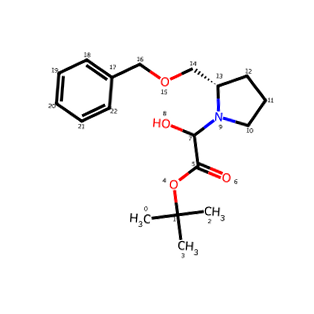 CC(C)(C)OC(=O)C(O)N1CCC[C@H]1COCc1ccccc1